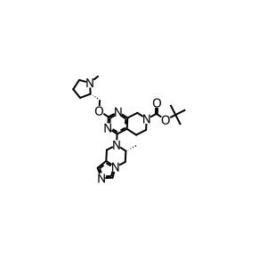 C[C@@H]1Cn2cncc2CN1c1nc(OC[C@@H]2CCCN2C)nc2c1CCN(C(=O)OC(C)(C)C)C2